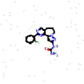 NC(=O)Nc1cc2n(n1)CCCc1cnc(-c3ccccc3Br)nc1-2